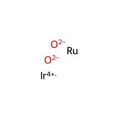 [Ir+4].[O-2].[O-2].[Ru]